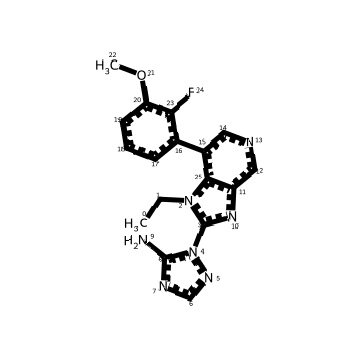 CCn1c(-n2ncnc2N)nc2cncc(-c3cccc(OC)c3F)c21